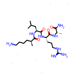 CC(C)C[C@H](NC(=O)[C@@H](C)CCCCN)C(=O)N[C@@H](CCCNC(=N)N)C(=O)N[C@@H](C)C(N)=O